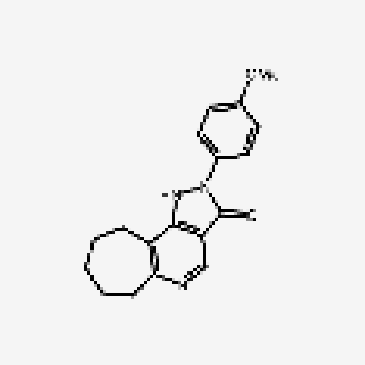 COc1ccc(-n2[nH]c3c4c(ncc3c2=O)CCCCC4)cc1